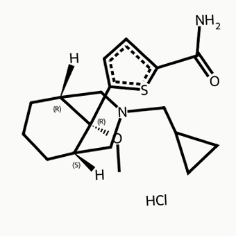 CO[C@@]1(c2ccc(C(N)=O)s2)[C@@H]2CCC[C@H]1CN(CC1CC1)C2.Cl